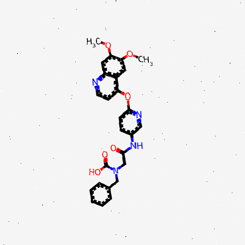 COc1cc2nccc(Oc3ccc(NC(=O)CN(Cc4ccccc4)C(=O)O)cn3)c2cc1OC